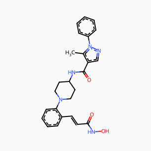 Cc1c(C(=O)NC2CCN(c3ccccc3/C=C/C(=O)NO)CC2)cnn1-c1ccccc1